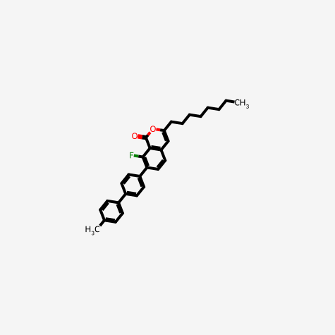 CCCCCCCCc1cc2ccc(-c3ccc(-c4ccc(C)cc4)cc3)c(F)c2c(=O)o1